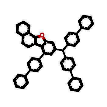 c1ccc(-c2ccc(-c3cc(C(c4ccc(-c5ccccc5)cc4)c4ccc(-c5ccccc5)cc4)cc4oc5c6ccccc6ccc5c34)cc2)cc1